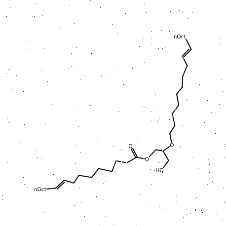 CCCCCCCCC=CCCCCCCCCOC(CO)COC(=O)CCCCCCCC=CCCCCCCCC